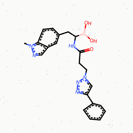 Cn1ncc2cc(CC(NC(=O)CCn3cc(-c4ccccc4)nn3)B(O)O)ccc21